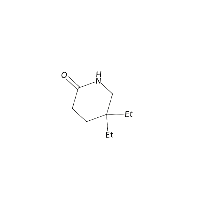 CCC1(CC)CCC(=O)NC1